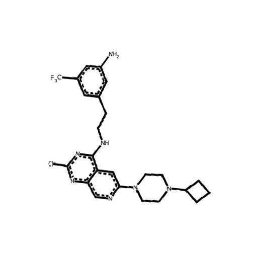 Nc1cc(CCNc2nc(Cl)nc3cnc(N4CCN(C5CCC5)CC4)cc23)cc(C(F)(F)F)c1